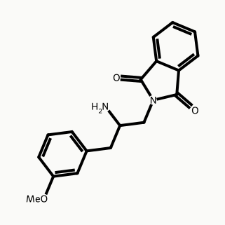 COc1cccc(CC(N)CN2C(=O)c3ccccc3C2=O)c1